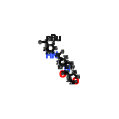 C=C(CCCC)c1ccc(NC(C)c2ccc3c(c2)CCN3C(=O)C2CCOCC2)cc1